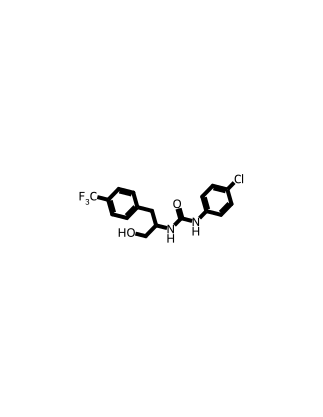 O=C(Nc1ccc(Cl)cc1)NC(CO)Cc1ccc(C(F)(F)F)cc1